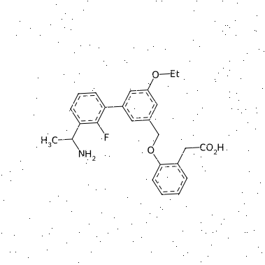 CCOc1cc(COc2ccccc2CC(=O)O)cc(-c2cccc(C(C)N)c2F)c1